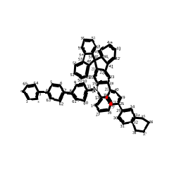 c1ccc(-c2ccc(-c3ccc(N(c4ccccc4)c4cc5c(cc4-c4ccc(-c6ccc7c(c6)CCCC7)cc4)-c4ccccc4C54c5ccccc5-c5ccccc54)cc3)cc2)cc1